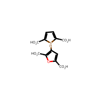 O=C(O)C1=CC=C(C(=O)O)[SH]1c1cc(C(=O)O)oc1C(=O)O